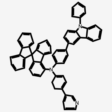 C1=C(c2cccnc2)CCC(N(c2ccc(-c3ccc4c(c3)c3ccccc3n4-c3ccccc3)cc2)c2cccc3c2-c2ccccc2C32c3ccccc3-c3ccccc32)=C1